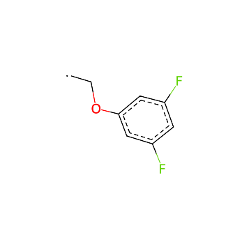 [CH2]COc1cc(F)cc(F)c1